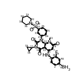 Bc1ccc(Nc2cc(=O)n(C)c3c2c(=O)n(C2CC2)c(=O)n3-c2cccc(S(=O)(=O)N3CCCCC3)c2)c(F)c1